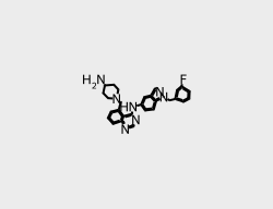 NC1CCN(Cc2cccc3ncnc(Nc4ccc5c(cnn5Cc5cccc(F)c5)c4)c23)CC1